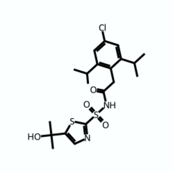 CC(C)c1cc(Cl)cc(C(C)C)c1CC(=O)NS(=O)(=O)c1ncc(C(C)(C)O)s1